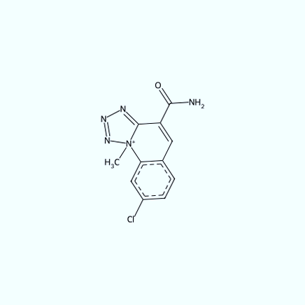 C[N+]12N=NN=C1C(C(N)=O)=Cc1ccc(Cl)cc12